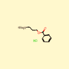 CCCCCCCCCCOC(=O)c1ccccc1.Cl